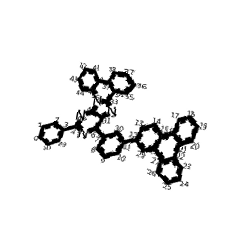 c1ccc(-c2nc(-c3cccc(-c4ccc5c6ccccc6c6ccccc6c5c4)c3)c3nc4c5ccccc5c5ccccc5n4c3n2)cc1